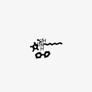 CCCCCCCC[NH][Hf]([C]1=C(C)C(C)=C(C)C1C)[SiH](C)C.c1ccc(-c2ccccc2)cc1